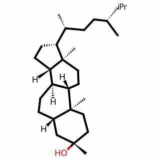 CC(C)[C@H](C)CC[C@@H](C)[C@H]1CC[C@H]2[C@@H]3CC[C@H]4C[C@@](C)(O)CC[C@]4(C)[C@H]3CC[C@]12C